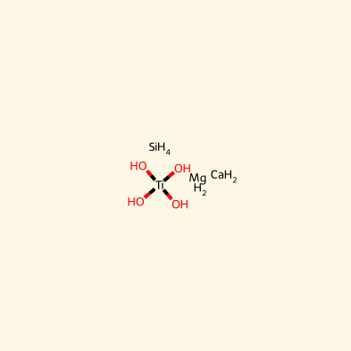 [CaH2].[MgH2].[OH][Ti]([OH])([OH])[OH].[SiH4]